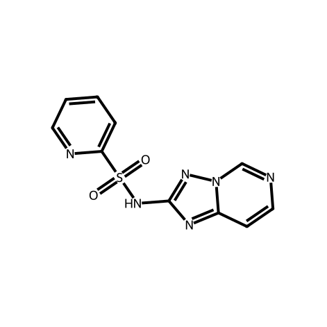 O=S(=O)(Nc1nc2ccncn2n1)c1ccccn1